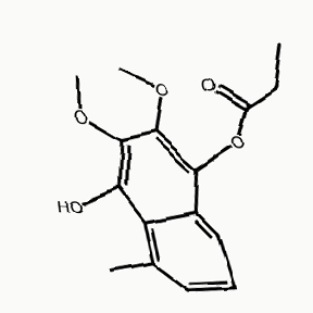 CCC(=O)Oc1c(OC)c(OC)c(O)c2c(C)cccc12